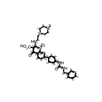 CCn1c(NCCN2CCN(C)CC2)c(C(=O)O)c(=O)c2ccc(-c3ccc(NC(=O)NCc4cccnc4)cc3)nc21